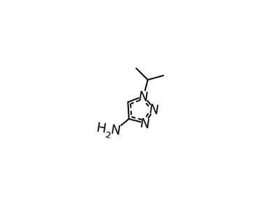 CC(C)n1cc(N)nn1